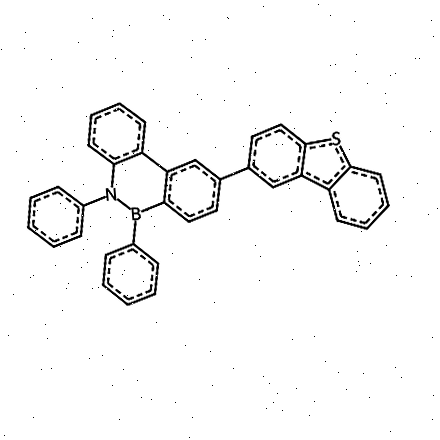 c1ccc(B2c3ccc(-c4ccc5sc6ccccc6c5c4)cc3-c3ccccc3N2c2ccccc2)cc1